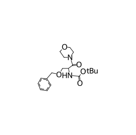 CC(C)(C)OC(=O)NC(COCc1ccccc1)C(=O)N1CCOCC1